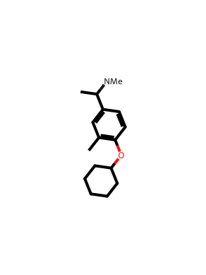 CNC(C)c1ccc(OC2CCCCC2)c(C)c1